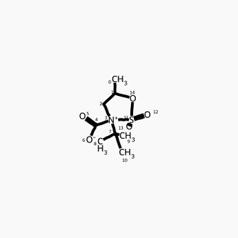 CC1C[N+](C(=O)[O-])(C(C)(C)C)S(=O)(=O)O1